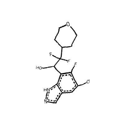 OC(c1c(F)c(Cl)cc2cn[nH]c12)C(F)(F)C1CCOCC1